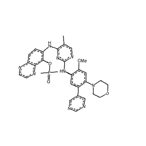 COc1cc(N2CCOCC2)c(-c2cncnc2)cc1Nc1ncc(C)c(Nc2ccc3nccnc3c2OP(C)(C)=O)n1